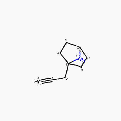 C#CCC12CCC(CC1)N2